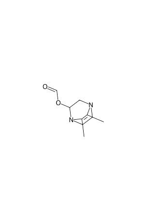 CC1=C(C)N2CCN1CC2OC=O